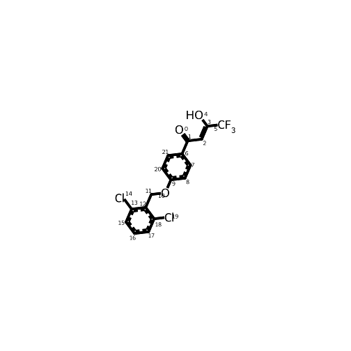 O=C(/C=C(\O)C(F)(F)F)c1ccc(OCc2c(Cl)cccc2Cl)cc1